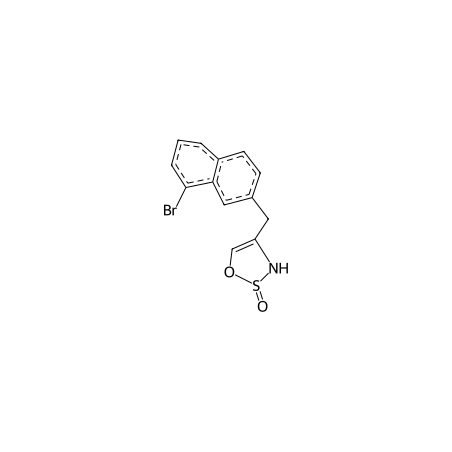 O=S1NC(Cc2ccc3cccc(Br)c3c2)=CO1